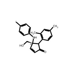 Cc1ccc(C2C(=O)C=C[C@]2(CO)Nc2ccc(I)cc2)c(C)c1